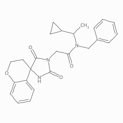 CC(C1CC1)N(Cc1ccccc1)C(=O)CN1C(=O)NC2(CCOc3ccccc32)C1=O